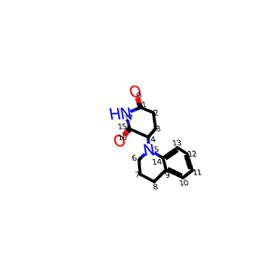 O=C1CCC(N2CCCc3ccccc32)C(=O)N1